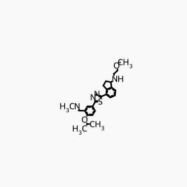 CN=Cc1cc(-c2nnc(-c3cccc4c3CCC4NCCOC)s2)ccc1OC(C)C